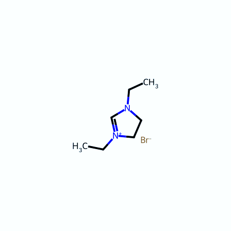 CCN1C=[N+](CC)CC1.[Br-]